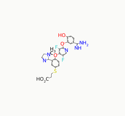 CN1CC=NC1c1cc(SCCC(=O)O)ccc1Oc1c(F)cnc(Oc2cc(C(=N)N)ccc2O)c1F